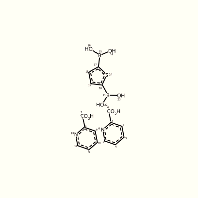 O=C(O)c1ccccn1.O=C(O)c1ccccn1.OB(O)c1ccc(B(O)O)s1